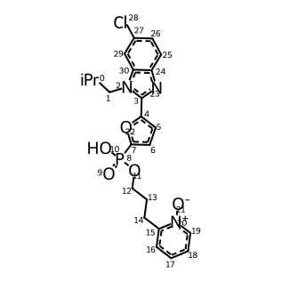 CC(C)Cn1c(-c2ccc(P(=O)(O)OCCCc3cccc[n+]3[O-])o2)nc2ccc(Cl)cc21